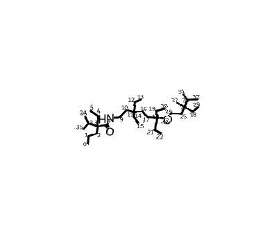 CCCC(CC)(C(=O)NCCC(CC)(CC)CCC(CC)(CC)OCCC(C)(CC)C(C)C)C(C)C